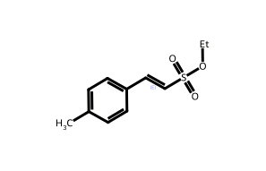 CCOS(=O)(=O)/C=C/c1ccc(C)cc1